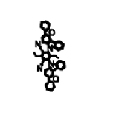 CCc1c(C#N)c(-n2c3ccccc3c3c4oc5ccccc5c4ccc32)c(CC)c(-n2c3ccccc3c3c4oc5ccccc5c4ccc32)c1C#N